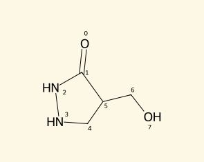 O=C1NNCC1CO